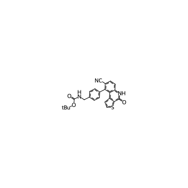 CC(C)(C)OC(=O)NCc1ccc(-c2c(C#N)ccc3[nH]c(=O)c4sccc4c23)cc1